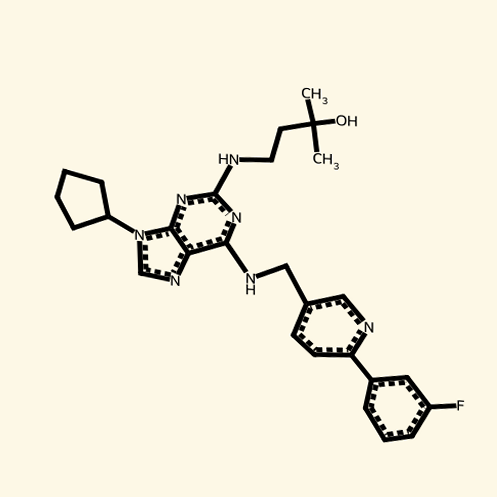 CC(C)(O)CCNc1nc(NCc2ccc(-c3cccc(F)c3)nc2)c2ncn(C3CCCC3)c2n1